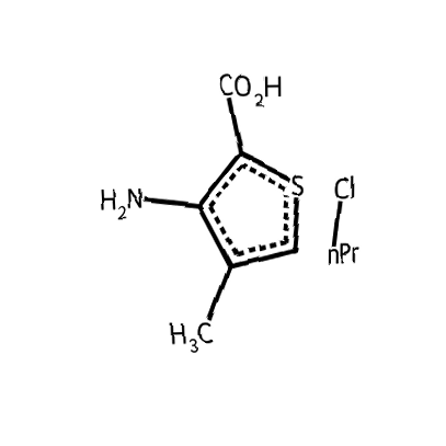 CCCCl.Cc1csc(C(=O)O)c1N